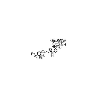 CCC(C)(C)c1ccc(OCCCC(=O)Nc2cccc(NC(=O)C(Cl)(C(=O)C(C)(C)C)N3C(=O)NC(C)(O)C3=O)c2)c(C(C)(C)CC)c1